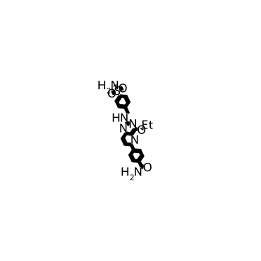 CCOc1nc(NCc2ccc(S(N)(=O)=O)cc2)nc2ccc(-c3ccc(C(N)=O)cc3)nc12